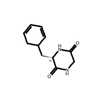 O=C1CNC(=O)[C@H](CC2C=CC=CC2)N1